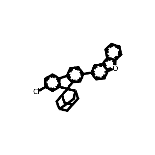 Clc1ccc2c(c1)C1(c3cc(-c4ccc5oc6ccccc6c5c4)ccc3-2)C2CC3CC(C2)CC1C3